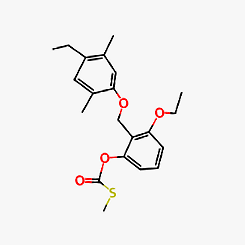 CCOc1cccc(OC(=O)SC)c1COc1cc(C)c(CC)cc1C